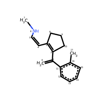 C=C(C1=C(/C=C\NC)CCC1)c1ccccc1C